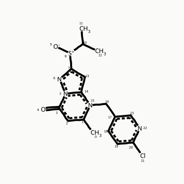 Cc1cc(=O)n2nc([S+]([O-])C(C)C)cc2n1Cc1ccc(Cl)nc1